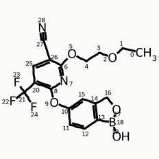 CCOCCOc1nc(Oc2ccc3c(c2)COB3O)c(C(F)(F)F)cc1C#N